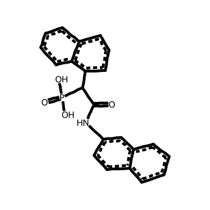 O=C(Nc1ccc2ccccc2c1)C(c1cccc2ccccc12)P(=O)(O)O